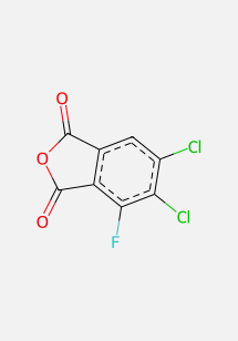 O=C1OC(=O)c2c1cc(Cl)c(Cl)c2F